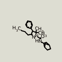 CCCCC1=NN(C(=O)NC2CC3CCC2C3)C(C)(C)C1c1ccccc1